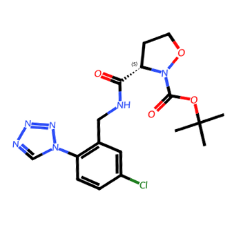 CC(C)(C)OC(=O)N1OCC[C@H]1C(=O)NCc1cc(Cl)ccc1-n1cnnn1